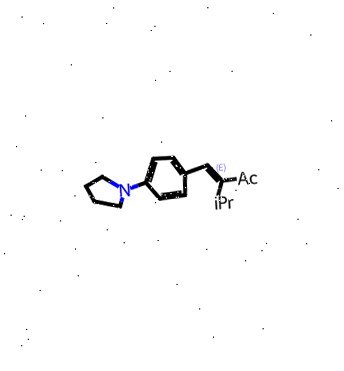 CC(=O)/C(=C/c1ccc(N2CCCC2)cc1)C(C)C